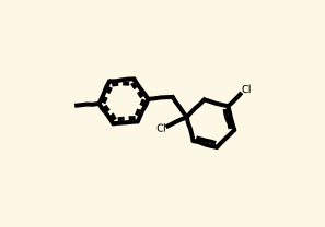 Cc1ccc(CC2(Cl)[CH]C(Cl)=CC=C2)cc1